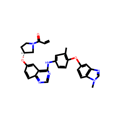 C=CC(=O)N1CC[C@@H](Oc2ccc3ncnc(Nc4ccc(Oc5ccc6c(c5)ncn6C)c(C)c4)c3c2)C1